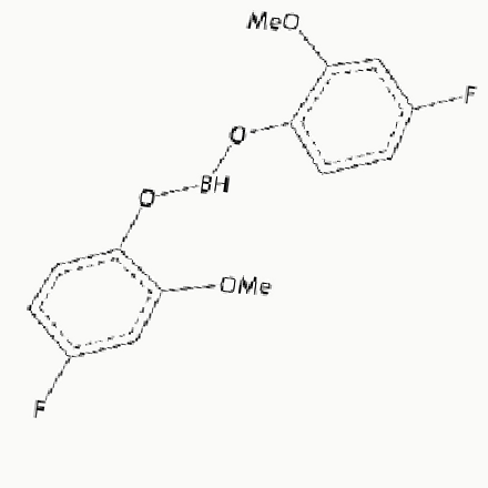 COc1cc(F)ccc1OBOc1ccc(F)cc1OC